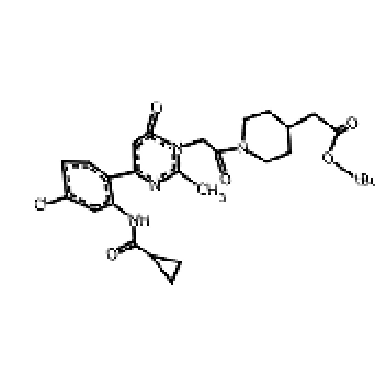 Cc1nc(-c2ccc(Cl)cc2NC(=O)C2CC2)cc(=O)n1CC(=O)N1CCC(CC(=O)OC(C)(C)C)CC1